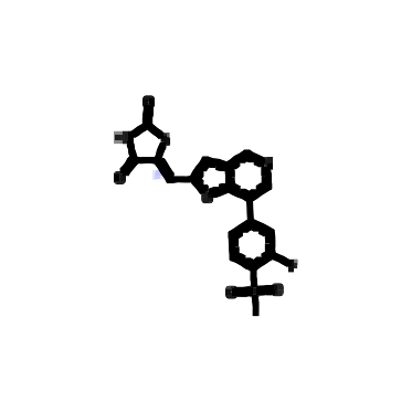 CS(=O)(=O)c1ccc(-c2cncc3cc(/C=C4\SC(=O)NC4=O)oc23)cc1F